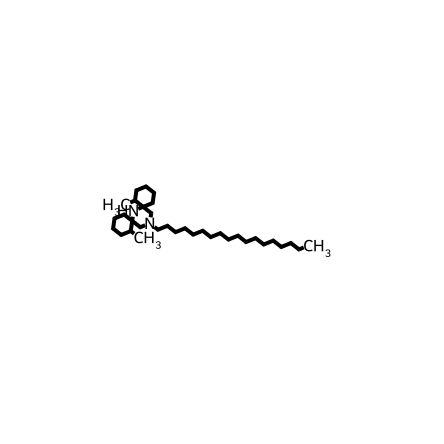 CCCCCCCCCCCCCCCCCCN1CC2(CCCCC2C)NC2(CCCCC2C)C1